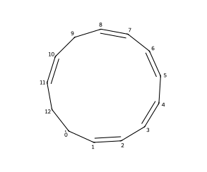 [CH]1C=CC=CC=CC=CCC=CC1